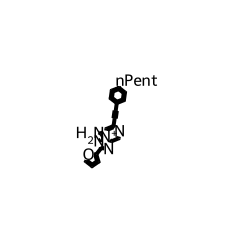 CCCCCc1ccc(C#CC2=C[N+]3(N)N=C(c4ccco4)N=C3C=N2)cc1